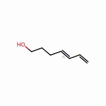 C=C/C=C/CCCO